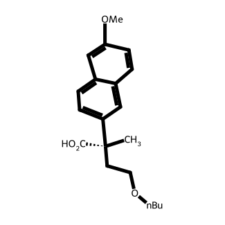 CCCCOCC[C@@](C)(C(=O)O)c1ccc2cc(OC)ccc2c1